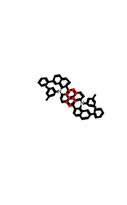 Cc1cc(C)cc(N(c2c(-c3ccccc3)ccc3ccc(-c4ccccc4)cc23)c2ccc3ccc4c(N(c5cc(C)cc(C)c5)c5c(-c6ccccc6)ccc6ccc(-c7ccccc7)cc56)ccc5ccc2c3c54)c1